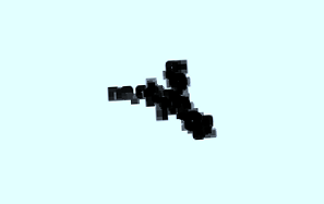 CCOC(=O)c1sc(Nc2nc3c(c(N4CCCC(CO)C4)n2)CCN3Cc2ccc(S(C)(=O)=O)cc2)nc1C